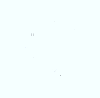 O=[N+]([O-])[O-].[Ni].c1ccncc1.c1ccncc1